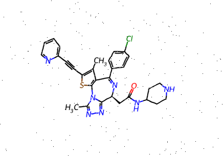 Cc1c(C#Cc2ccccn2)sc2c1C(c1ccc(Cl)cc1)=N[C@@H](CC(=O)NC1CCNCC1)c1nnc(C)n1-2